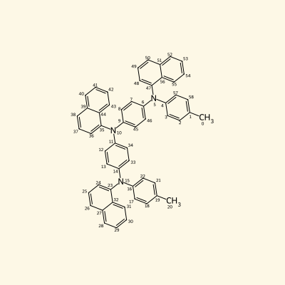 Cc1ccc(N(c2ccc(N(c3ccc(N(c4ccc(C)cc4)c4cccc5ccccc45)cc3)c3cccc4ccccc34)cc2)c2cccc3ccccc23)cc1